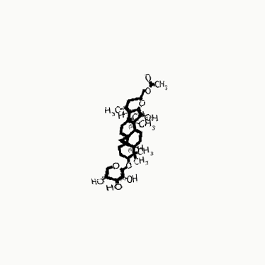 CC(=O)OCC1C[C@@H](C)[C@H]2C(O1)[C@H](O)[C@@]1(C)C3CC[C@H]4C(C)(C)C(OC5OC[C@@H](O)C(O)[C@H]5O)CCC45CC35CCC21C